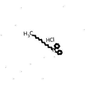 CCCCCCCCCCCCCCN(Cc1ccccc1)c1ccccc1.Cl